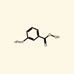 CCCCCc1cccc(C(=O)OO)c1